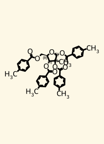 Cc1ccc(C(=O)OC[C@H]2O[C@H](OC(=O)c3ccc(C)cc3)[C@](C)(OC(=O)c3ccc(C)cc3)[C@@H]2OC(=O)c2ccc(C)cc2)cc1